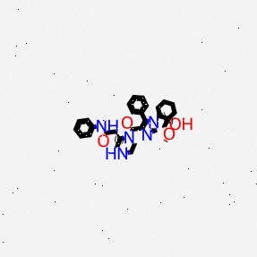 COC[C@]1(O)CCCC[C@H]1n1cnc(C(=O)N2CCNC[C@H]2CC(=O)Nc2ccccc2)c1-c1ccccc1